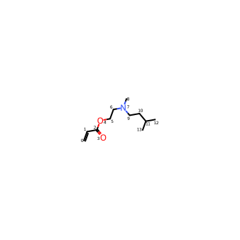 C=CC(=O)OCCN(C)CCC(C)C